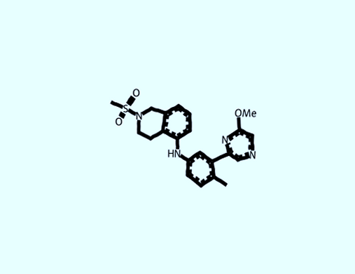 COc1cncc(-c2cc(Nc3cccc4c3CCN(S(C)(=O)=O)C4)ccc2C)n1